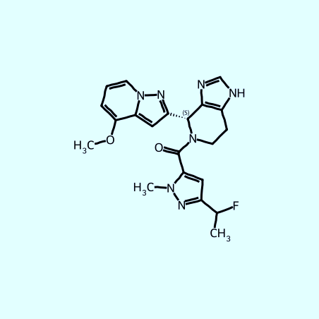 COc1cccn2nc([C@@H]3c4nc[nH]c4CCN3C(=O)c3cc(C(C)F)nn3C)cc12